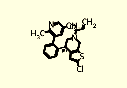 C=CC(=O)N1Cc2sc(Cl)cc2[C@@H](c2ccccc2-c2cc(C)cnc2C)C1